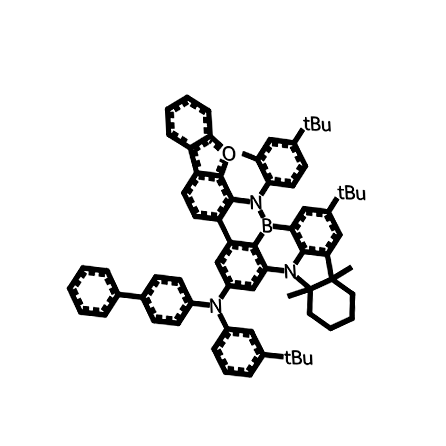 Cc1cc(C(C)(C)C)ccc1N1B2c3cc(C(C)(C)C)cc4c3N(c3cc(N(c5ccc(-c6ccccc6)cc5)c5cccc(C(C)(C)C)c5)cc(c32)-c2ccc3c(oc5ccccc53)c21)C1(C)CCCCC41C